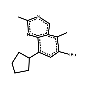 Cc1ncc2c(C)c(C(C)(C)C)cc(C3CCCC3)c2n1